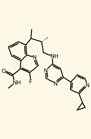 CNC(=O)c1c(F)cnc2c(C(C)[C@H](C)CNc3cc(-c4ccnc(C5CC5)c4)ncn3)cccc12